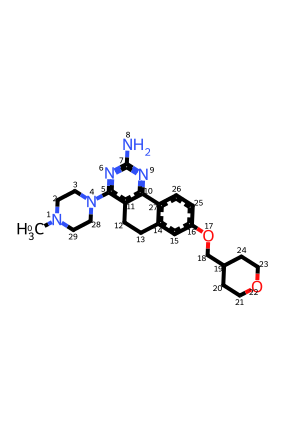 CN1CCN(c2nc(N)nc3c2CCc2cc(OCC4CCOCC4)ccc2-3)CC1